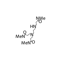 CNC(=O)CCNCCCN(CCC(=O)NC)CCC(=O)NC